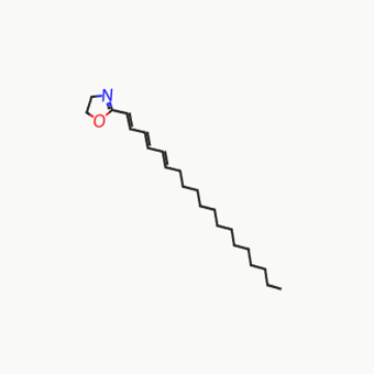 CCCCCCCCCCCCCC=CC=CC=CC1=NCCO1